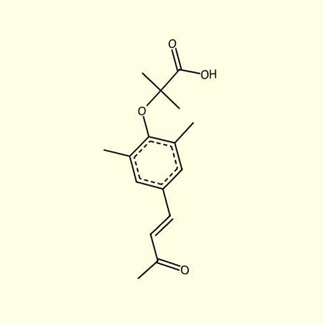 CC(=O)/C=C/c1cc(C)c(OC(C)(C)C(=O)O)c(C)c1